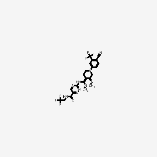 C=N/C(Nc1ncc(C(=O)NCC(F)(F)F)nn1)=C1/CCN(c2ccc(C#N)c(C(F)(F)F)c2)C/C1=N/C